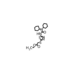 CCOC(=O)CSc1nnc(NC(=O)N(C2CCCCC2)C2CCCCC2)s1